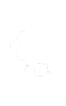 COC1CCN(CCC(=O)N2CCC(=O)CC2)C1